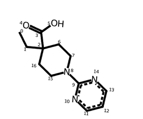 CCC1(C(=O)O)CCN(c2ncccn2)CC1